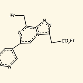 CCOC(=O)Cc1nnc2c(CC(C)C)nc(-c3cccnc3)cn12